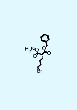 NOC(=O)[C@@H](CCCCBr)C(=O)OCc1ccccc1